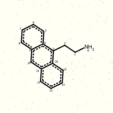 NCCc1c2ccccc2cc2ccccc12